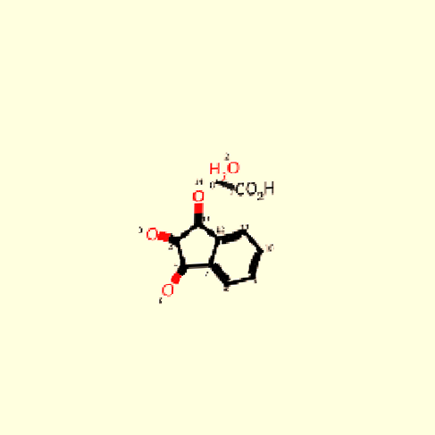 CC(=O)O.O.O=c1c(=O)c2ccccc2c1=O